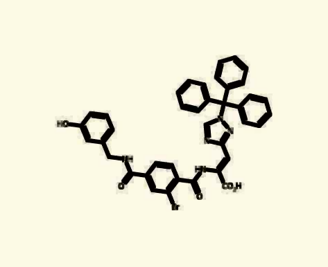 O=C(O)/C(=C/c1ncn(C(c2ccccc2)(c2ccccc2)c2ccccc2)n1)NC(=O)c1ccc(C(=O)NCc2cccc(O)c2)cc1Br